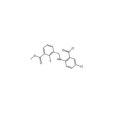 COC(=O)c1cccc(CNc2ccc(Cl)cc2[N+](=O)[O-])c1F